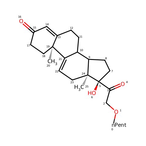 CCCCCOCC(=O)[C@@]1(O)CCC2C3CCC4=CC(=O)CC[C@]4(C)C3=CC[C@@]21C